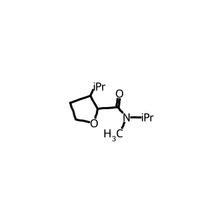 CC(C)C1CCOC1C(=O)N(C)C(C)C